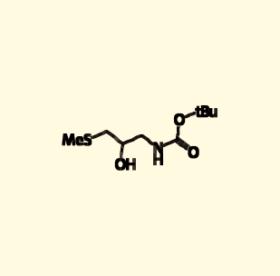 CSCC(O)CNC(=O)OC(C)(C)C